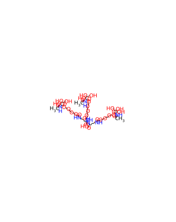 CC(=O)N[C@H]1[C@H](OCCOCCOCCOCC(=O)NCCCCC(NC(=O)C(CCCCNC(=O)COCCOCCOCCO[C@@H]2O[C@H](CO)[C@H](O)[C@H](O)[C@H]2NC(C)=O)NC(=O)COCCOCCOCCO[C@@H]2O[C@H](CO)[C@H](O)[C@H](O)[C@H]2NC(C)=O)C(=O)O)O[C@H](CO)[C@H](O)[C@@H]1O